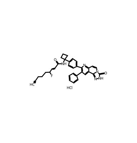 C#CCCCC(F)C=CC(=O)NC1(c2ccc(-c3nc4ccn5c(=O)[nH]nc5c4cc3-c3ccccc3)cc2)CCC1.Cl